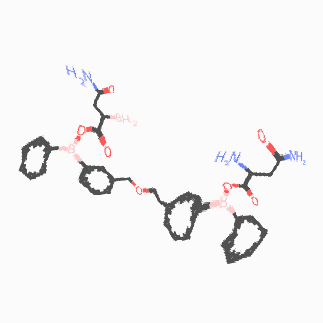 BC(CC(N)=O)C(=O)OB(c1ccccc1)c1cccc(COCc2cccc(B(OC(=O)C(N)CC(N)=O)c3ccccc3)c2)c1